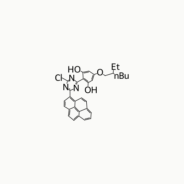 CCCCC(CC)COc1cc(O)c(-c2nc(Cl)nc(-c3ccc4ccc5cccc6ccc3c4c56)n2)c(O)c1